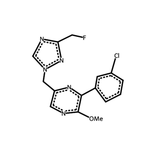 COc1ncc(Cn2cnc(CF)n2)nc1-c1cccc(Cl)c1